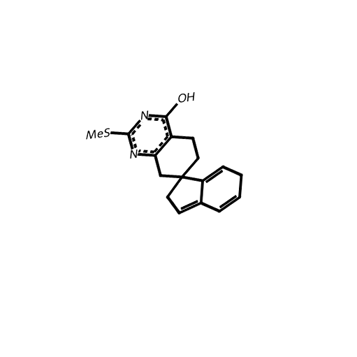 CSc1nc(O)c2c(n1)CC1(CC=C3C=CCC=C31)CC2